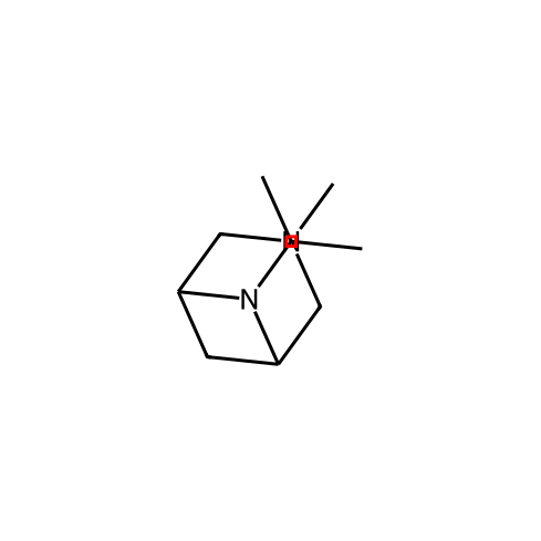 CC(C)N1C2CC1CN(C)C2